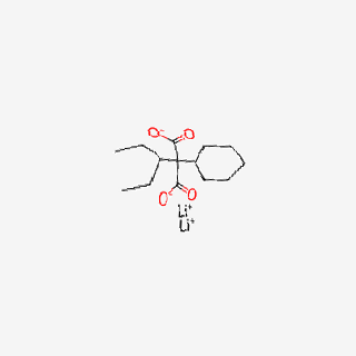 CCC(CC)C(C(=O)[O-])(C(=O)[O-])C1CCCCC1.[Li+].[Li+]